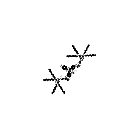 CCCCCCCCN(CCCCCCCC)c1nc(NCCOC(=O)C(C)Oc2ccc(-c3nc(-c4ccc(OC)cc4)nc(-c4ccc(OC(C)C(=O)OCCNc5nc(N(CCCCCCCC)CCCCCCCC)nc(N(CCCCCCCC)CCCCCCCC)n5)cc4O)n3)c(O)c2)nc(N(CCCCCCCC)CCCCCCCC)n1